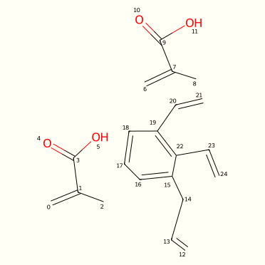 C=C(C)C(=O)O.C=C(C)C(=O)O.C=CCc1cccc(C=C)c1C=C